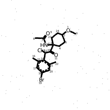 COC1CCC(NC(C)=O)(C(=O)C(Cl)c2c(C)cc(Br)cc2C)CC1